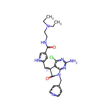 CCN(CC)CCNC(=O)c1c[nH]c(/C=C2/C(=O)N(Cc3ccncc3)c3nc(N)nc(Cl)c32)c1